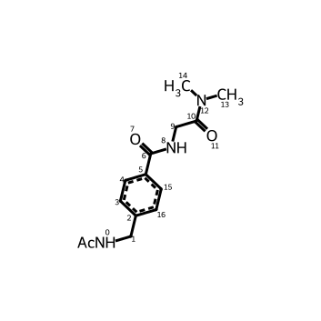 CC(=O)NCc1ccc(C(=O)NCC(=O)N(C)C)cc1